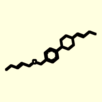 CCC=CCOCc1ccc(C2CCC(C=CCC)CC2)cc1